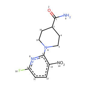 NC(=O)C1CCN(c2nc(F)ccc2[N+](=O)[O-])CC1